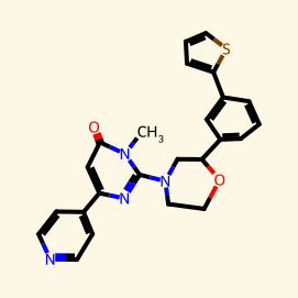 Cn1c(N2CCOC(c3cccc(-c4cccs4)c3)C2)nc(-c2ccncc2)cc1=O